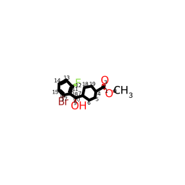 COC(=O)C1CCC([C@@H](O)c2c(F)cccc2Br)CC1